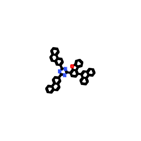 c1ccc2c(c1)ccc1cc(-c3nc(-c4ccc5c(ccc6ccccc65)c4)nc(-c4ccc(-c5cc6ccccc6c6ccccc56)c5c4oc4ccccc45)n3)ccc12